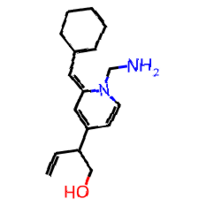 C=CC(CO)C1=C/C(=C/C2CCCCC2)N(CN)C=C1